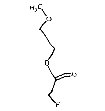 COCCOC(=O)CF